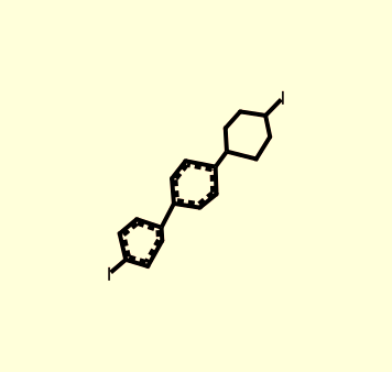 Ic1ccc(-c2ccc(C3CCC(I)CC3)cc2)cc1